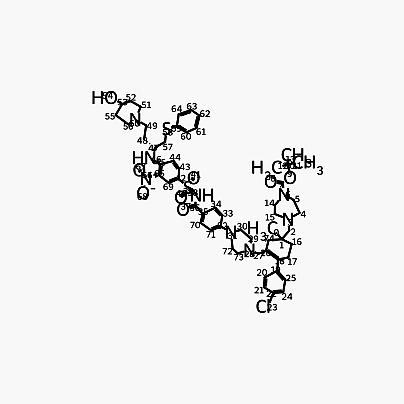 CC1(CN2CCN(C(=O)OC(C)(C)C)CC2)CCC(c2ccc(Cl)cc2)=C(CN2CCN(c3ccc(C(=O)NS(=O)(=O)c4ccc(N[C@H](CCN5CCC(O)CC5)CSc5ccccc5)c([N+](=O)[O-])c4)cc3)CC2)C1